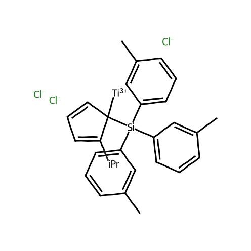 Cc1cccc([Si](c2cccc(C)c2)(c2cccc(C)c2)[C]2([Ti+3])C=CC=C2C(C)C)c1.[Cl-].[Cl-].[Cl-]